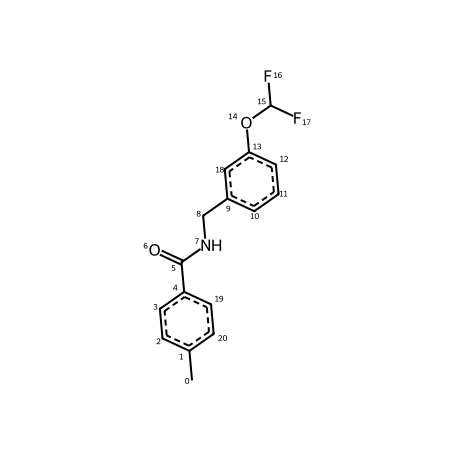 Cc1ccc(C(=O)NCc2cccc(OC(F)F)c2)cc1